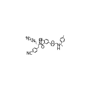 Cc1ccc([C@@H](C)NCc2ccc(-c3ccc(Cl)c(C(=O)N[C@@H](CCN4CC5(CN(C)C5)C4)Cc4ccc(C#N)cc4)c3)o2)cc1